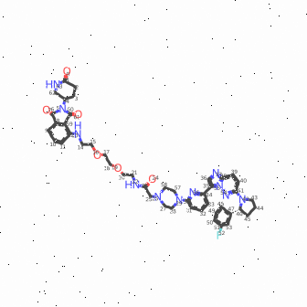 O=C1CCC(N2C(=O)c3cccc(NCCOCCOCCNC(=O)CN4CCN(c5cccc(-c6cnc7ccc(N8CCC[C@@H]8c8cccc(F)c8)nn67)n5)CC4)c3C2=O)CN1